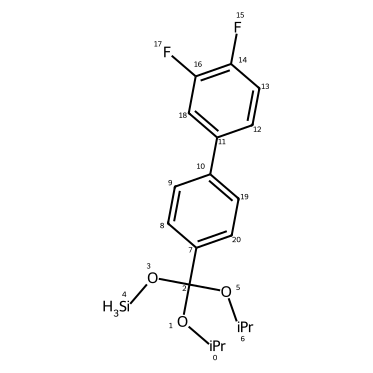 CC(C)OC(O[SiH3])(OC(C)C)c1ccc(-c2ccc(F)c(F)c2)cc1